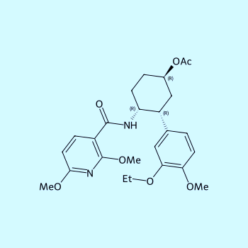 CCOc1cc([C@H]2C[C@H](OC(C)=O)CC[C@H]2NC(=O)c2ccc(OC)nc2OC)ccc1OC